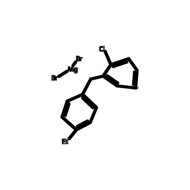 CCc1ccc(Cc2c[c]ccc2Cl)cc1.[Br][Mg][Br]